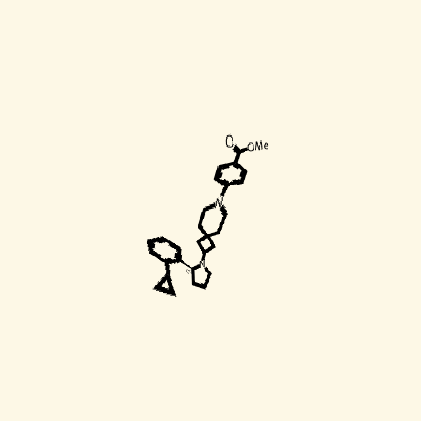 COC(=O)c1ccc(N2CCC3(CC2)CC(N2CCC[C@H]2c2ccccc2C2CC2)C3)cc1